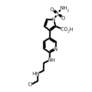 NS(=O)(=O)n1ccc(-c2ccc(NCCNCCl)nc2)c1C(=O)O